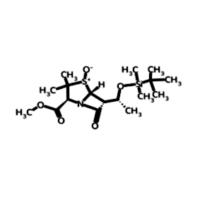 COC(=O)[C@@H]1N2C(=O)[C@@H]([C@@H](C)O[Si](C)(C)C(C)(C)C)[C@H]2[S+]([O-])C1(C)C